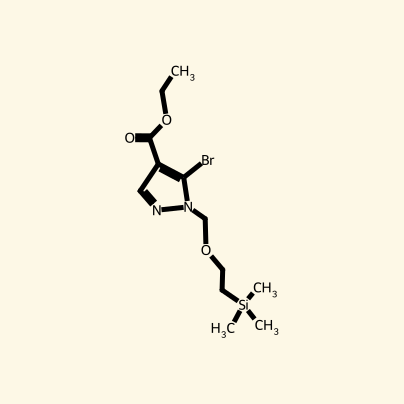 CCOC(=O)c1cnn(COCC[Si](C)(C)C)c1Br